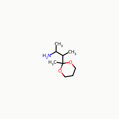 CC(N)C(C)C1(C)OCCCO1